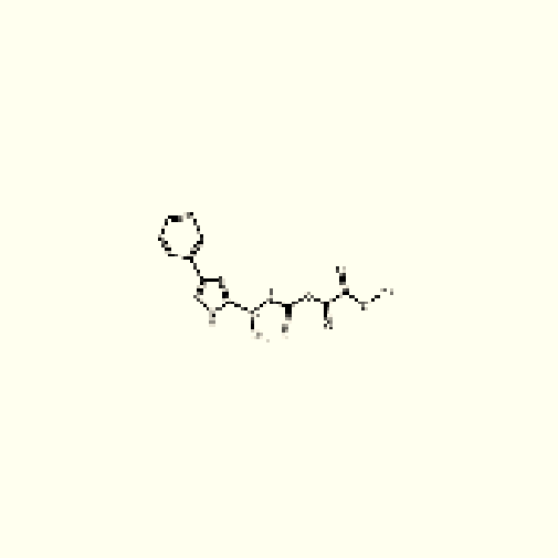 C[C@H](NC(=O)OC(=O)C(=O)OC(C)(C)C)c1nc(-c2ccccc2)c[nH]1